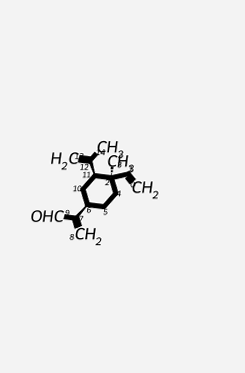 C=C[C@@]1(C)CC[C@@H](C(=C)C=O)C[C@H]1C(=C)C